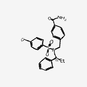 CC[C@@H](c1ccccc1)N(Cc1ccc(C(N)=O)cc1)S(=O)(=O)c1ccc(Cl)cc1